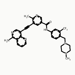 Cc1ncc(C(=O)Nc2ccc(CN3CCN(C)CC3)c(C(F)(F)F)c2)cc1C#Cc1cnc(N)c2cccnc12